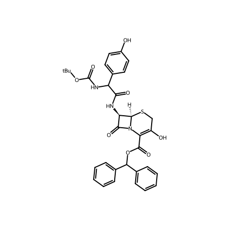 CC(C)(C)OC(=O)NC(C(=O)N[C@@H]1C(=O)N2C(C(=O)OC(c3ccccc3)c3ccccc3)=C(O)CS[C@H]12)c1ccc(O)cc1